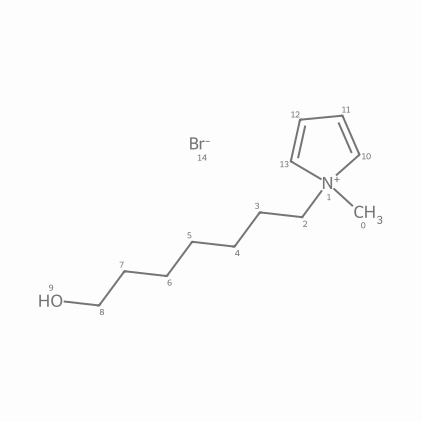 C[N+]1(CCCCCCCO)C=CC=C1.[Br-]